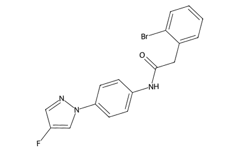 O=C(Cc1ccccc1Br)Nc1ccc(-n2cc(F)cn2)cc1